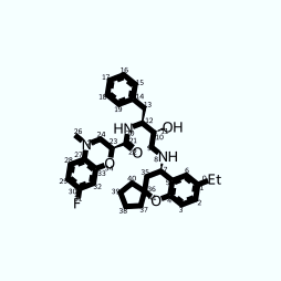 CCc1ccc2c(c1)[C@@H](NC[C@@H](O)[C@H](Cc1ccccc1)NC(=O)[C@@H]1CN(C)c3ccc(F)cc3O1)CC1(CCCC1)O2